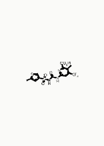 Cc1cc(S(=O)(=O)NC(=O)Nc2cc(C(F)(F)F)c(C)c(C(=O)O)n2)cs1